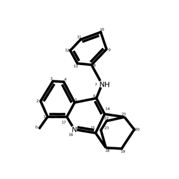 Cc1cccc2c(Nc3ccccc3)c3c(nc12)C1CCC3CC1